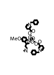 COc1ccc2c(c1)c(CCN(C)C)cn2P(=O)(OCOC(=O)C1=CN(Cc2ccccc2)C=CC1)OCOC(=O)C1=CN(Cc2ccccc2)C=CC1